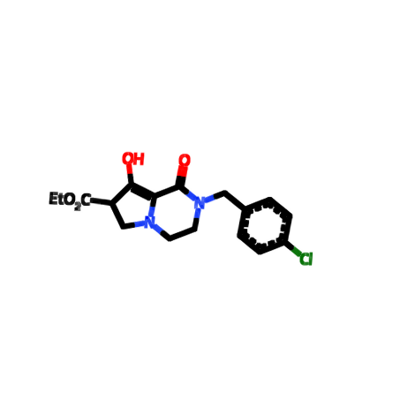 CCOC(=O)C1CN2CCN(Cc3ccc(Cl)cc3)C(=O)C2=C1O